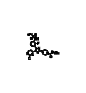 CCCS(=O)(=O)Nc1cccc(-c2nc(N3CCN(C(=O)OC(C)(C)C)CC3)sc2-c2ccnc(Cl)n2)c1F